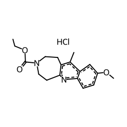 CCOC(=O)N1CCc2nc3ccc(OC)cc3c(C)c2CC1.Cl